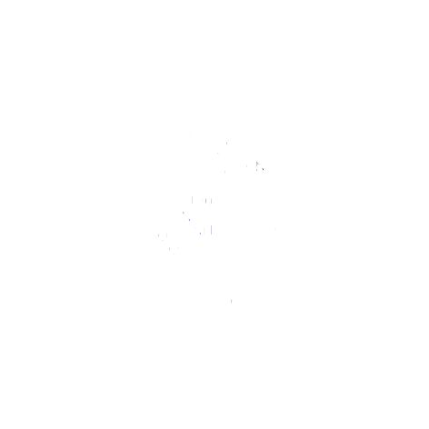 CC(C)(C)N(NC(=O)c1ccc(Cl)cc1)C(=O)c1ccccc1.CC1(C)C(C(=O)OC(C#N)c2cccc(Oc3ccccc3)c2)C1(C)C